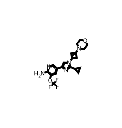 Nc1ncc(-c2cn(C34CC(N5CCOCC5)(C3)C4)c(C3CC3)n2)cc1OC(F)(F)F